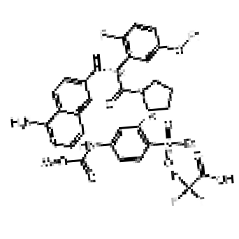 CCOc1ccc(F)c([C@@H](Nc2ccc3c(N)nccc3c2)C(=O)N2CCC[C@@H]2c2cc(NC(=O)OC)ccc2S(=O)(=O)CC)c1.O=C(O)C(F)(F)F